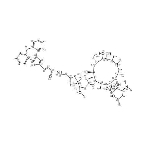 CC[C@H]1OC(=O)[C@H](C)[C@@H](O[C@H]2C[C@@](C)(OC)[C@](O)(CNCCNC(=O)/C=C/c3cc4c(s3)-c3ccccc3Sc3ccccc3-4)[C@H](C)O2)[C@H](C)[C@@H](O[C@@H]2O[C@H](C)C[C@H](N(C)C)[C@H]2O)[C@](C)(O)C[C@@H](C)CN(C)[C@H](C)[C@@H](O)[C@]1(C)O